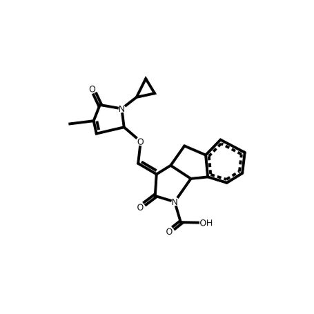 CC1=CC(OC=C2C(=O)N(C(=O)O)C3c4ccccc4CC23)N(C2CC2)C1=O